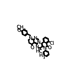 COc1ccc(CN2CCC(=O)c3c(N[C@@H](C)c4cc5cccc(Cl)c5c(=O)n4-c4ccccc4)ncnc32)cc1